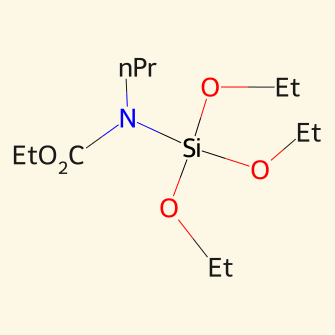 CCCN(C(=O)OCC)[Si](OCC)(OCC)OCC